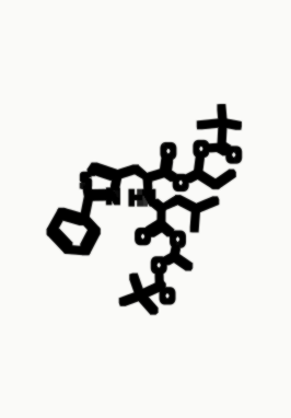 CCC(OC(=O)[C@H](Cc1csc(-c2ccccc2)n1)N[C@@H](CC(C)C)C(=O)OC(C)OC(=O)C(C)(C)C)OC(=O)C(C)(C)C